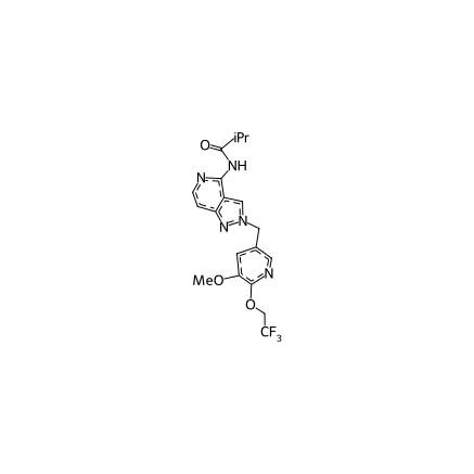 COc1cc(Cn2cc3c(NC(=O)C(C)C)nccc3n2)cnc1OCC(F)(F)F